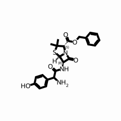 CC1(C)S[C@@H]2[C@H](NC(=O)C(N)c3ccc(O)cc3)C(=O)N2[C@H]1C(=O)OCc1ccccc1